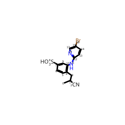 CC(C#N)Cc1ccc(S(=O)(=O)O)cc1Nc1ccc(Br)cn1